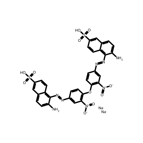 Nc1ccc2cc(S(=O)(=O)O)ccc2c1N=Nc1ccc(Oc2ccc(N=Nc3c(N)ccc4cc(S(=O)(=O)O)ccc34)cc2[N+](=O)[O-])c([N+](=O)[O-])c1.[Na].[Na]